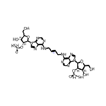 O=[PH](S)O[C@H]1C(n2cnc3c(NC/C=C/CNc4ncnc5c4ncn5C4OC(CO)[C@@H](O)[C@H]4O[PH](=O)S)ncnc32)OC(CO)[C@H]1O